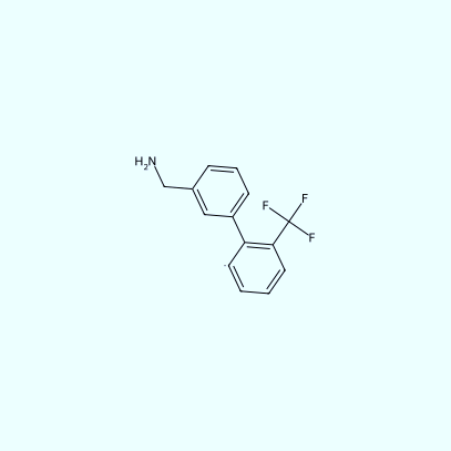 NCc1cccc(-c2[c]cccc2C(F)(F)F)c1